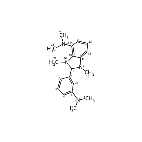 CN(C)c1cccc(C2N(C)c3cccc(N(C)C)c3N2C)c1